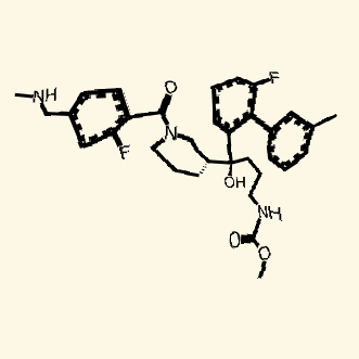 CNCc1ccc(C(=O)N2CCC[C@@H]([C@@](O)(CCCNC(=O)OC)c3cccc(F)c3-c3cccc(C)c3)C2)c(F)c1